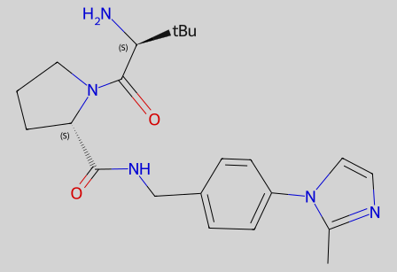 Cc1nccn1-c1ccc(CNC(=O)[C@@H]2CCCN2C(=O)[C@@H](N)C(C)(C)C)cc1